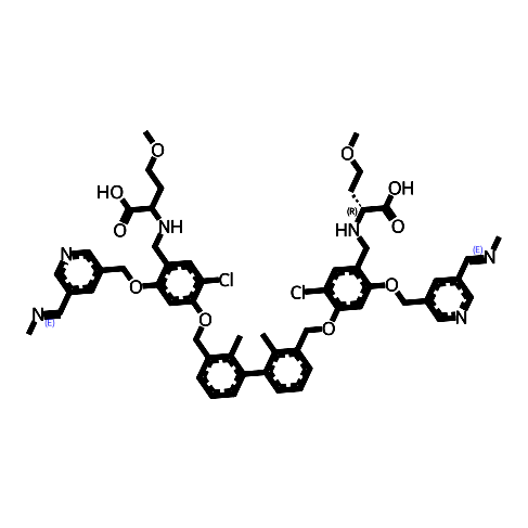 C/N=C/c1cncc(COc2cc(OCc3cccc(-c4cccc(COc5cc(OCc6cncc(/C=N/C)c6)c(CN[C@H](CCOC)C(=O)O)cc5Cl)c4C)c3C)c(Cl)cc2CNC(CCOC)C(=O)O)c1